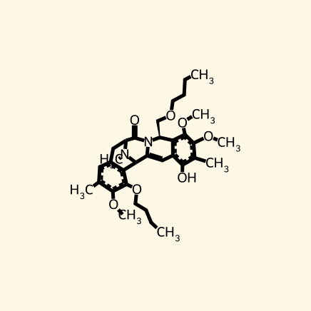 CCCCOC[C@H]1c2c(c(O)c(C)c(OC)c2OC)C=C2C3c4c(cc(C)c(OC)c4OCCCC)CC(C(=O)N21)N3C